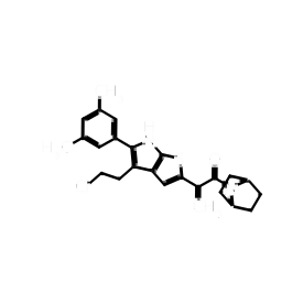 C=C(C(=O)N1C2CCC1CC2)c1cc2c(CCCl)c(-c3cc(C)cc(C)c3)[nH]c2s1